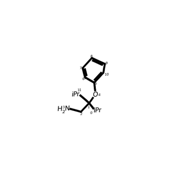 CC(C)C(CN)(Oc1[c]cccc1)C(C)C